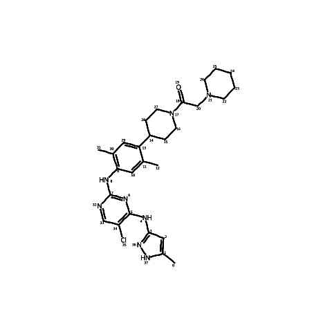 Cc1cc(Nc2nc(Nc3cc(C)c(C4CCN(C(=O)CN5CCCCC5)CC4)cc3C)ncc2Cl)n[nH]1